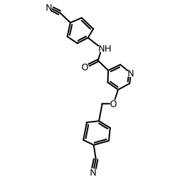 N#Cc1ccc(COc2cncc(C(=O)Nc3ccc(C#N)cc3)c2)cc1